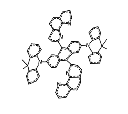 CC1(C)c2ccccc2N(c2ccc3c(-c4ccc5ccc6cccnc6c5n4)c4cc(N5c6ccccc6C(C)(C)c6ccccc65)ccc4c(-c4ccc5ccc6cccnc6c5n4)c3c2)c2ccccc21